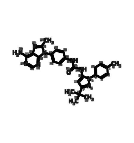 Cc1ccc(-n2nc(C(C)(C)C)cc2NC(=O)Nc2ccc(-n3c(C)nc4c(N)ncnc43)cc2)cc1